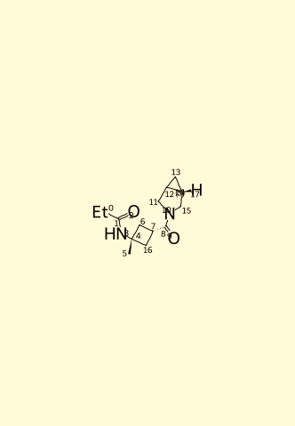 CCC(=O)N[C@]1(C)C[C@H](C(=O)N2CC3C[C@@H]3C2)C1